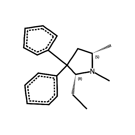 CC[C@H]1N(C)[C@@H](C)CC1(c1ccccc1)c1ccccc1